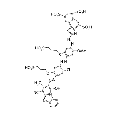 COc1cc(N=Nc2cc(OCCCS(=O)(=O)O)c(N=Nc3c(C)c(C#N)c4nc5ccccc5n4c3O)cc2Cl)c(SCCCS(=O)(=O)O)cc1N=Nc1nc2c(S(=O)(=O)O)cc3c(S(=O)(=O)O)cc(S(=O)(=O)O)cc3c2s1